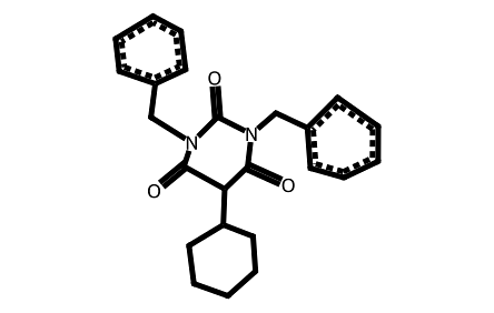 O=C1C(C2CCCCC2)C(=O)N(Cc2ccccc2)C(=O)N1Cc1ccccc1